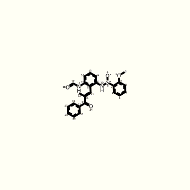 COc1ccccc1[S+]([O-])Nc1cccc(NC=O)c1/C=C(\C)C(=O)c1ccccc1